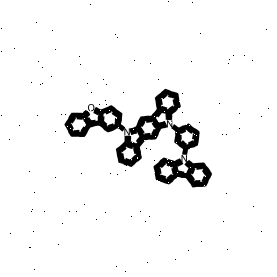 c1cc(-n2c3ccccc3c3ccccc32)cc(-n2c3ccccc3c3cc4c(cc32)c2ccccc2n4-c2ccc3oc4ccccc4c3c2)c1